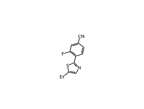 CCc1cnc(-c2ccc(C#N)cc2F)s1